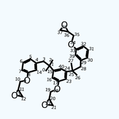 CC(C)(Cc1cccc(OCC2CO2)c1)c1cc(OCC2CO2)cc(C(C)(C)Cc2cccc(OCC3CO3)c2)c1